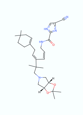 CC1(C)CC=C(C/C=C(\C=C/CNC(=O)c2nc(C#N)c[nH]2)C(C)(C)CN2C[C@@H]3OC(C)(C)O[C@@H]3C2)CC1